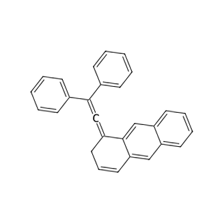 C(=C(c1ccccc1)c1ccccc1)=C1CC=Cc2cc3ccccc3cc21